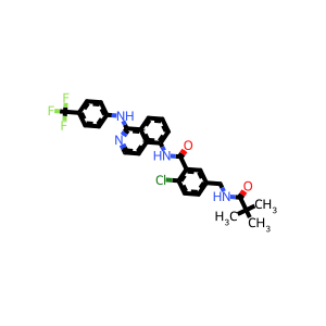 CC(C)(C)C(=O)NCc1ccc(Cl)c(C(=O)Nc2cccc3c(Nc4ccc(C(F)(F)F)cc4)nccc23)c1